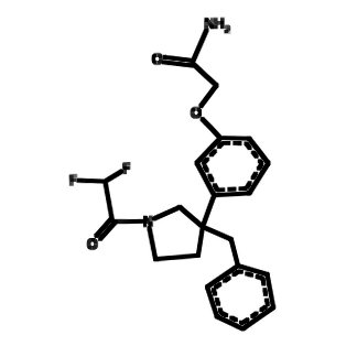 NC(=O)COc1cccc(C2(Cc3ccccc3)CCN(C(=O)C(F)F)C2)c1